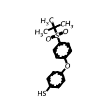 CC(C)(C)S(=O)(=O)c1ccc(Oc2ccc(S)cc2)cc1